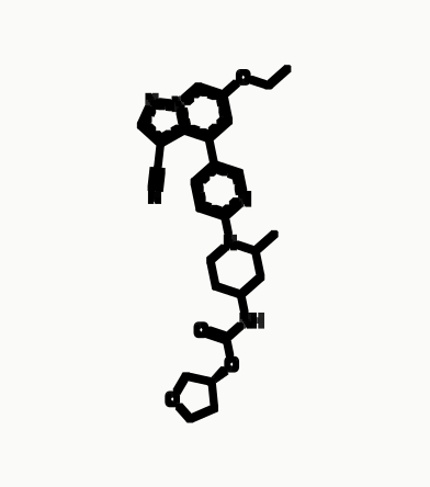 CCOc1cc(-c2ccc(N3CCC(NC(=O)O[C@H]4CCOC4)CC3C)nc2)c2c(C#N)cnn2c1